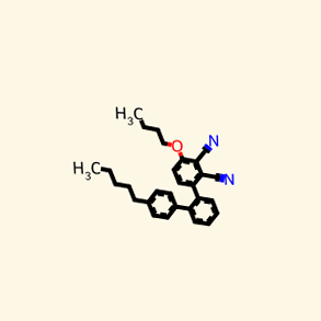 CCCCCc1ccc(-c2ccccc2-c2ccc(OCCCC)c(C#N)c2C#N)cc1